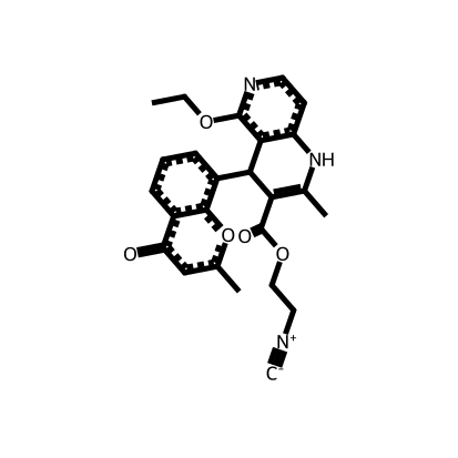 [C-]#[N+]CCOC(=O)C1=C(C)Nc2ccnc(OCC)c2C1c1cccc2c(=O)cc(C)oc12